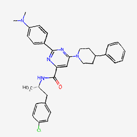 CN(C)c1ccc(-c2nc(C(=O)N[C@H](Cc3ccc(Cl)cc3)C(=O)O)cc(N3CCC(c4ccccc4)CC3)n2)cc1